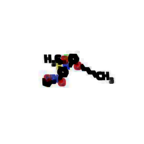 CCCCCCCOc1cccc(F)c1CN1C(=O)C(C)Sc2cc(C(=O)NCc3ccco3)ccc21